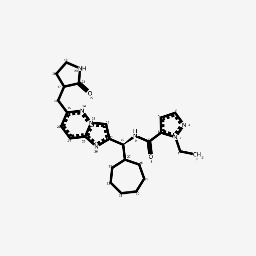 CCn1nccc1C(=O)N[C@H](c1cn2nc(CC3CCNC3=O)ccc2n1)C1CCCCCC1